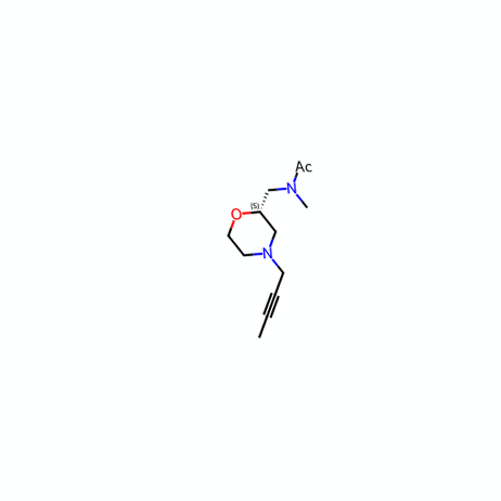 CC#CCN1CCO[C@H](CN(C)C(C)=O)C1